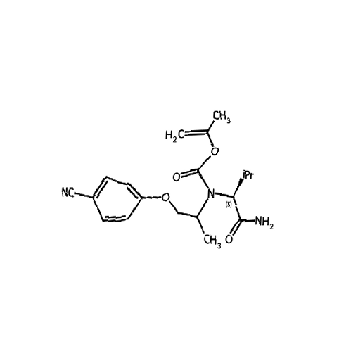 C=C(C)OC(=O)N(C(C)COc1ccc(C#N)cc1)[C@H](C(N)=O)C(C)C